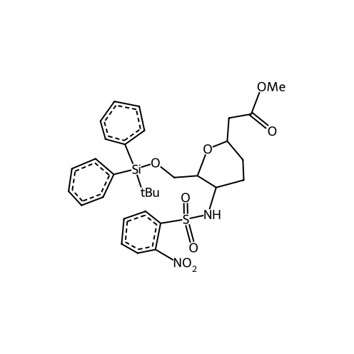 COC(=O)CC1CCC(NS(=O)(=O)c2ccccc2[N+](=O)[O-])C(CO[Si](c2ccccc2)(c2ccccc2)C(C)(C)C)O1